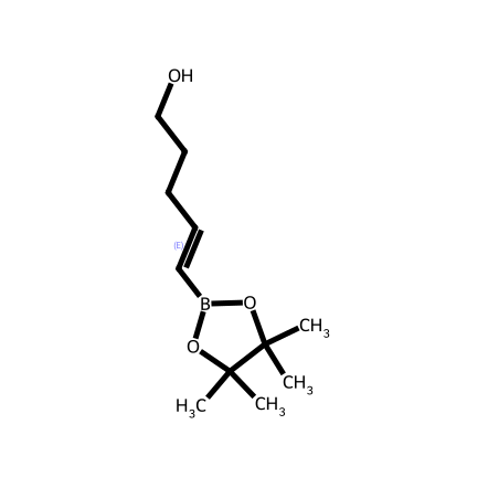 CC1(C)OB(/C=C/CCCO)OC1(C)C